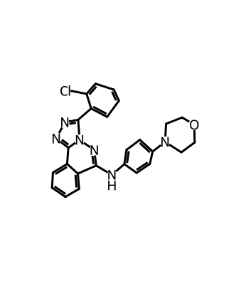 Clc1ccccc1-c1nnc2c3ccccc3c(Nc3ccc(N4CCOCC4)cc3)nn12